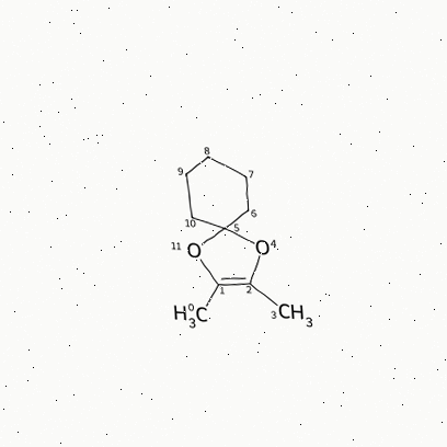 CC1=C(C)OC2(CCCCC2)O1